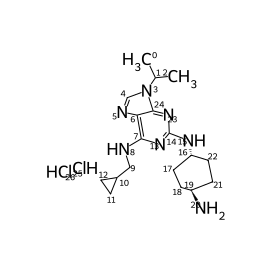 CC(C)n1cnc2c(NCC3CC3)nc(N[C@H]3CC[C@H](N)CC3)nc21.Cl.Cl